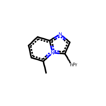 CCCc1cnc2cccc(C)n12